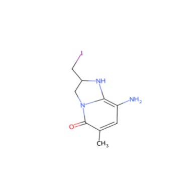 Cc1cc(N)c2n(c1=O)CC(CI)N2